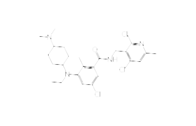 CCN(c1cc(Cl)cc(C(=O)NCc2c(Cl)cc(C)nc2Cl)c1C)C1CCC(N(C)C)CC1